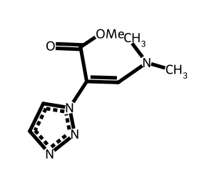 COC(=O)C(=CN(C)C)n1ccnn1